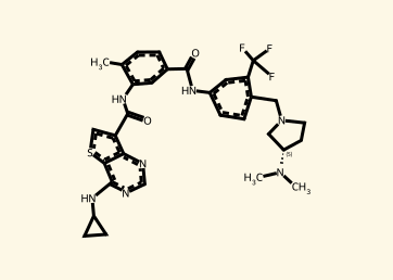 Cc1ccc(C(=O)Nc2ccc(CN3CC[C@H](N(C)C)C3)c(C(F)(F)F)c2)cc1NC(=O)c1csc2c(NC3CC3)ncnc12